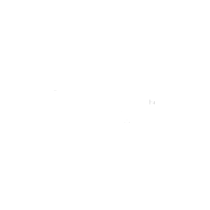 Fc1ccc(SCC2CC(Br)CO2)cc1